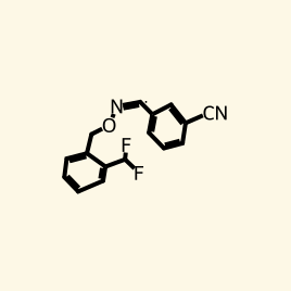 N#Cc1cccc(/[C]=N\OCc2ccccc2C(F)F)c1